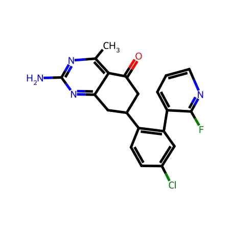 Cc1nc(N)nc2c1C(=O)CC(c1ccc(Cl)cc1-c1cccnc1F)C2